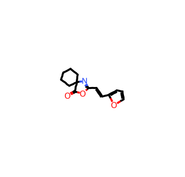 O=C1OC(C=Cc2ccco2)=NC12CCCCC2